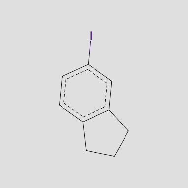 Ic1ccc2c(c1)CCC2